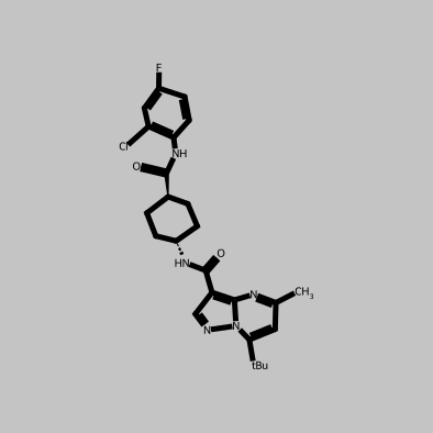 Cc1cc(C(C)(C)C)n2ncc(C(=O)N[C@H]3CC[C@H](C(=O)Nc4ccc(F)cc4Cl)CC3)c2n1